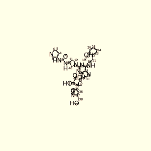 O=C(Nc1cccnc1)N[C@@H]1CCN(c2nc(N[C@H](CO)Cc3ccccc3)c3ncn([C@@H]4O[C@H](c5cc(CO)no5)[C@@H](O)[C@@H]4O)c3n2)C1